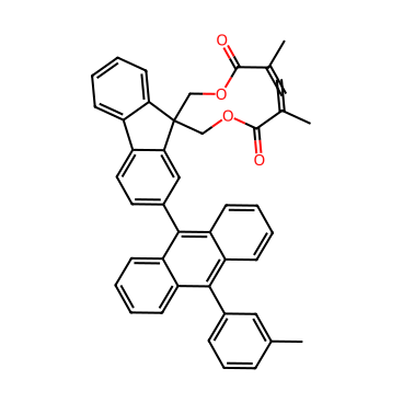 C=C(C)C(=O)OCC1(COC(=O)C(=C)C)c2ccccc2-c2ccc(-c3c4ccccc4c(-c4cccc(C)c4)c4ccccc34)cc21